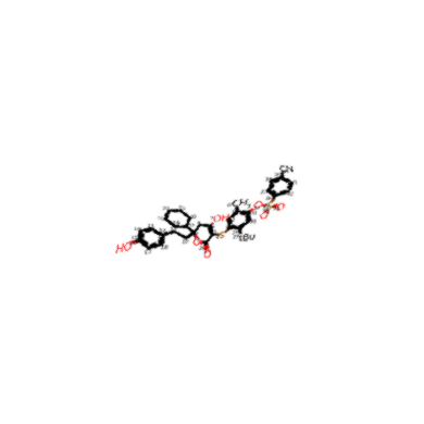 Cc1cc(SC2=C(O)CC(CCc3ccc(O)cc3)(C3CCCCC3)OC2=O)c(C(C)(C)C)cc1OS(=O)(=O)c1ccc(C#N)cc1